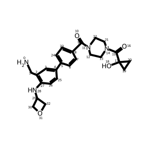 NCc1cc(-c2ccc(C(=O)N3CCN(C(=O)C4(O)CC4)CC3)cc2)ccc1NC1COC1